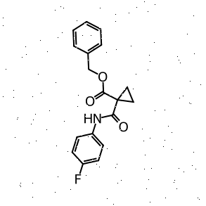 O=C(Nc1ccc(F)cc1)C1(C(=O)OCc2ccccc2)CC1